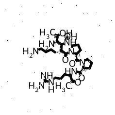 CC(=O)C(CCCNC(=N)N)NC(=O)[C@@H]1CCCN1C(=O)[C@@H]1CCCN1C(=O)[C@H](CCCCN)C(NO)[C@@H](N)[C@@H](C)O